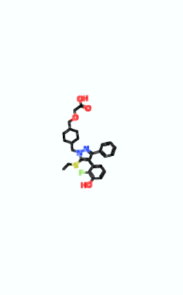 CCSc1c(-c2cccc(O)c2F)c(-c2ccccc2)nn1CC1CCC(COCC(=O)O)CC1